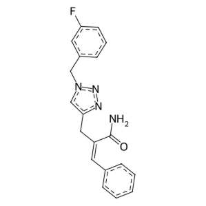 NC(=O)C(=Cc1ccccc1)Cc1cn(Cc2cccc(F)c2)nn1